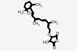 CC(C=CC1=C(C)CCCC1(C)C)=CC=CC(C)=CCOC1C(=O)OC(=O)C1O